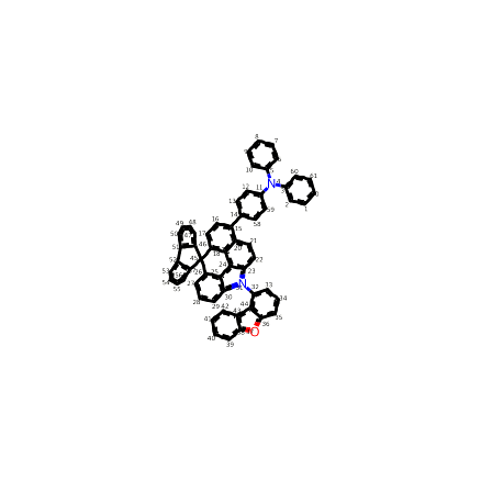 c1ccc(N(c2ccccc2)c2ccc(-c3ccc4c5c3ccc3c5c5c(cccc5n3-c3cccc5oc6ccccc6c35)C43c4ccccc4-c4ccccc43)cc2)cc1